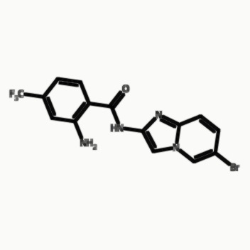 Nc1cc(C(F)(F)F)ccc1C(=O)Nc1cn2cc(Br)ccc2n1